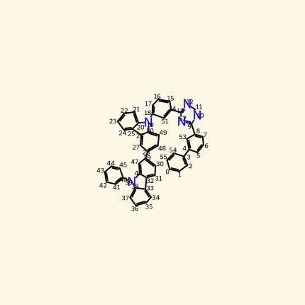 c1ccc(-c2cccc(-c3ncnc(-c4cccc(-n5c6ccccc6c6cc(-c7ccc8c9ccccc9n(-c9ccccc9)c8c7)ccc65)c4)n3)c2)cc1